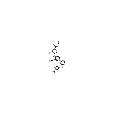 CC(C)n1cc(Nc2ncnc(-c3ccc(O[C@H]4CCN(C(=O)CC#N)C[C@H]4F)c(C#N)c3)n2)cn1